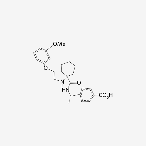 COc1cccc(OCCN(C)C2(C(=O)N[C@@H](C)c3ccc(C(=O)O)cc3)CCCCC2)c1